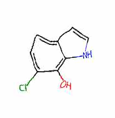 Oc1c(Cl)ccc2cc[nH]c12